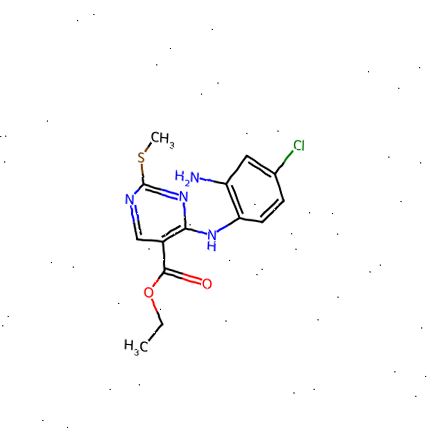 CCOC(=O)c1cnc(SC)nc1Nc1ccc(Cl)cc1N